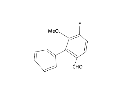 COc1c(F)ccc(C=O)c1-c1ccccc1